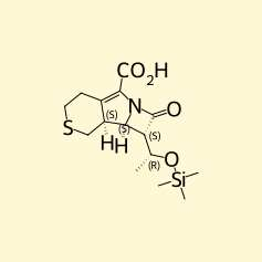 C[C@@H](O[Si](C)(C)C)[C@H]1C(=O)N2C(C(=O)O)=C3CCSC[C@@H]3[C@H]12